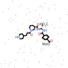 COC(=O)c1ccc(C(=O)N[C@@H](CC(=O)O)NC(=O)[C@@H]2CCCN(C(=O)CCC3CCNCC3)C2)cc1